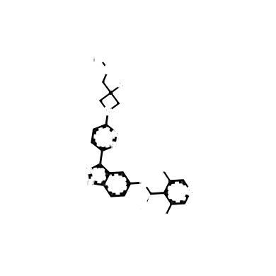 CC(C)OCC1(N)CN(c2ccc(-c3n[nH]c4ccc(O[C@H](C)c5c(Cl)cncc5Cl)cc34)nn2)C1